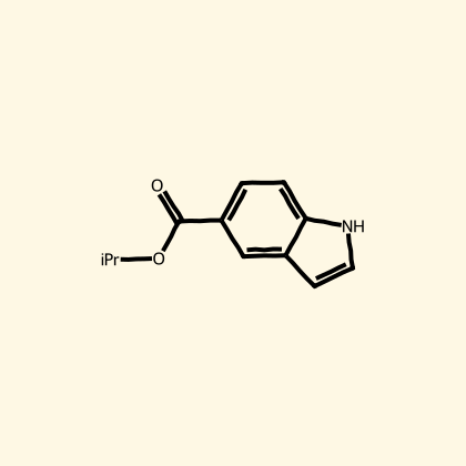 CC(C)OC(=O)c1ccc2[nH]ccc2c1